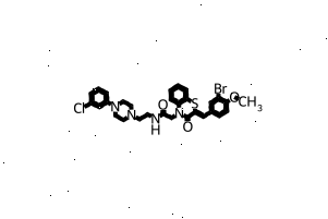 COc1ccc(C=C2Sc3ccccc3N(CC(=O)NCCN3CCN(c4cccc(Cl)c4)CC3)C2=O)cc1Br